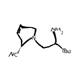 CC(C)(C)C(N)CN1CC=C[C@H]1C#N